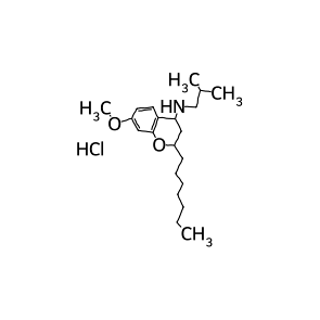 CCCCCCCC1CC(NCC(C)C)c2ccc(OC)cc2O1.Cl